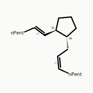 CCCCC/C=C\C[C@H]1CCC[C@@H]1/C=C/CCCCC